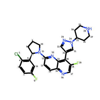 Fc1ccc(Cl)c([C@H]2CCCN2c2ccc3ncc(F)c(-c4cnn(C5CCNCC5)c4)c3n2)c1